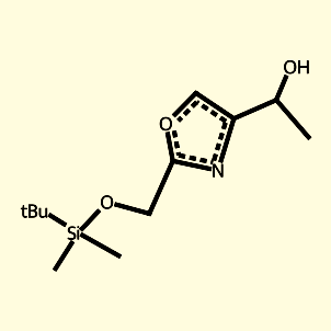 CC(O)c1coc(CO[Si](C)(C)C(C)(C)C)n1